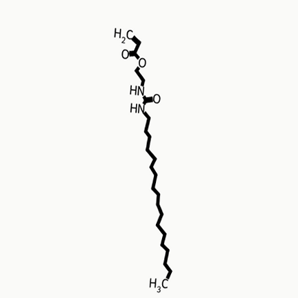 C=CC(=O)OCCNC(=O)NCCCCCCCCCCCCCCCCCC